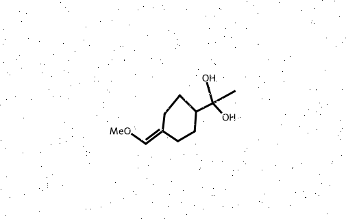 COC=C1CCC(C(C)(O)O)CC1